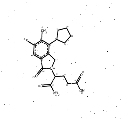 Cc1c(F)cc2c(c1C1CCCC1)CN(C(CCC(=O)O)C(N)=O)C2=O